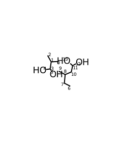 CC(C)C(O)O.CCC(C)CC(O)O